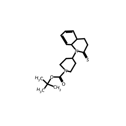 CC(C)(C)OC(=O)N1CCC(N2C(=S)CCC3C=CC=CC32)CC1